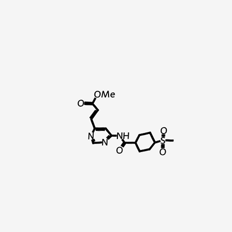 COC(=O)/C=C/c1cc(NC(=O)C2CCC(S(C)(=O)=O)CC2)ncn1